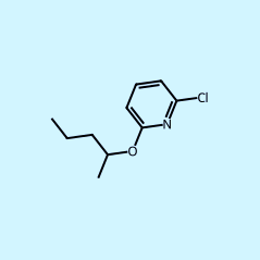 CCCC(C)Oc1cccc(Cl)n1